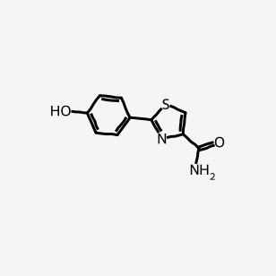 NC(=O)c1csc(-c2ccc(O)cc2)n1